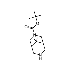 CC(C)(C)OC(=O)N1CC2CNCC(C1)C2(C)C